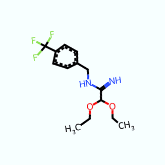 CCOC(OCC)C(=N)NCc1ccc(C(F)(F)F)cc1